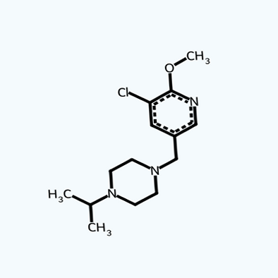 COc1ncc(CN2CCN(C(C)C)CC2)cc1Cl